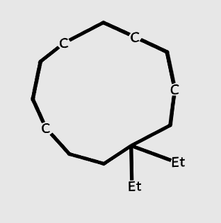 CCC1(CC)CCCCCCCCCCC1